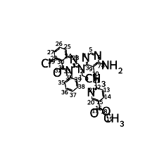 CCN(c1ncnc(N)c1C#Cc1ccc(C(=O)OC)cn1)c1nc2cccc(Cl)c2c(=O)n1-c1ccccc1